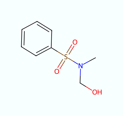 CN(CO)S(=O)(=O)c1ccccc1